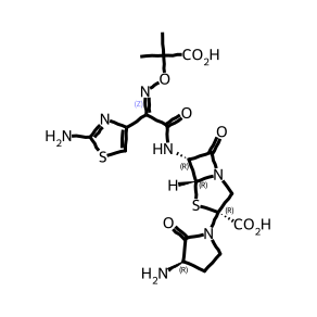 CC(C)(O/N=C(\C(=O)N[C@@H]1C(=O)N2C[C@@](C(=O)O)(N3CC[C@@H](N)C3=O)S[C@H]12)c1csc(N)n1)C(=O)O